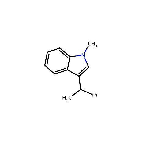 CC(C)C(C)c1cn(C)c2ccccc12